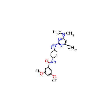 CCOc1cc(OCC)cc(C(=O)NC2CCC(Nc3nc(C)cc(N(C)C)n3)CC2)c1